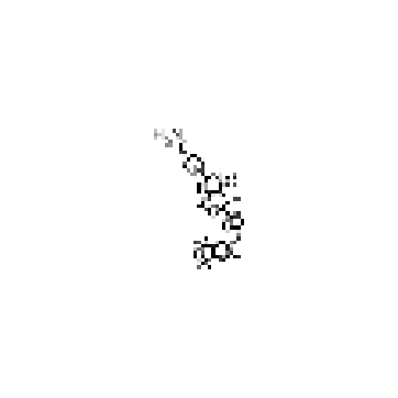 COc1nc(N2CCN(CCN)CC2)nc(OC)c1NC(=O)c1ccc(Cc2cc3c(cc2C)C(C)(C)OC3(C)C)o1